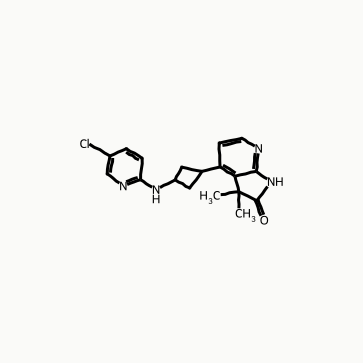 CC1(C)C(=O)Nc2nccc(C3CC(Nc4ccc(Cl)cn4)C3)c21